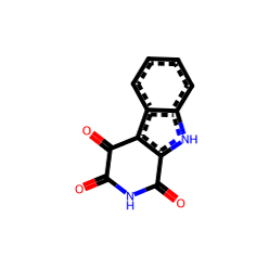 O=C1NC(=O)c2[nH]c3ccccc3c2C1=O